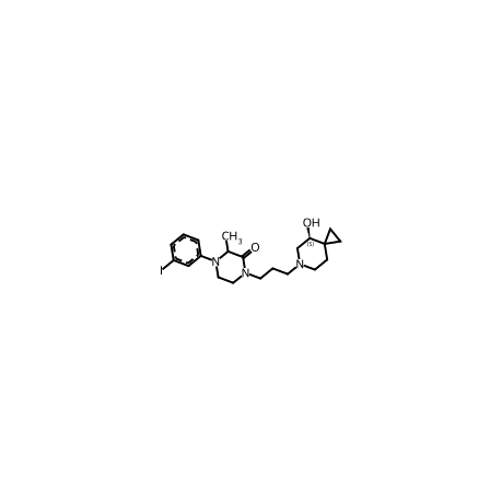 CC1C(=O)N(CCCN2CCC3(CC3)[C@H](O)C2)CCN1c1cccc(I)c1